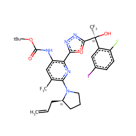 C=CC[C@@H]1CCCN1c1nc(-c2nnc([C@@](O)(c3cc(I)ccc3F)C(F)(F)F)o2)c(NC(=O)OC(C)(C)C)cc1C(F)(F)F